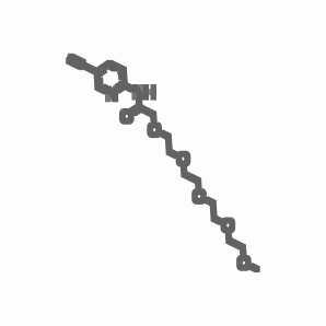 C#Cc1ccc(NC(=O)COCCOCCOCCOCCOC)nc1